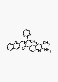 Cc1cc2cc(C(=O)N(Cc3ccc4ccccc4n3)C(C)c3ncccn3)ccc2nc1N